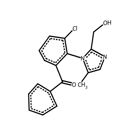 Cc1cnc(CO)n1-c1c(Cl)cccc1C(=O)c1ccccc1